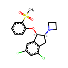 CS(=O)(=O)c1ccccc1O[C@@H]1c2cc(Cl)cc(Cl)c2C[C@@H]1N1CCC1